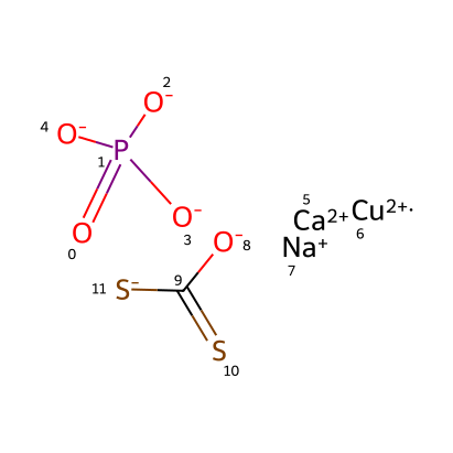 O=P([O-])([O-])[O-].[Ca+2].[Cu+2].[Na+].[O-]C(=S)[S-]